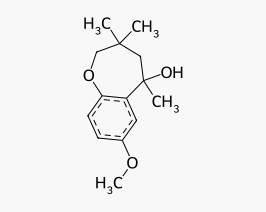 COc1ccc2c(c1)C(C)(O)CC(C)(C)CO2